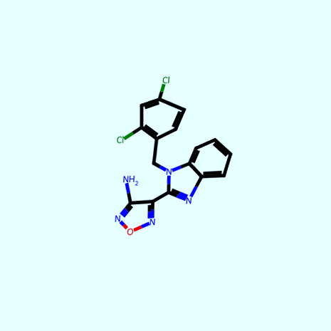 Nc1nonc1-c1nc2ccccc2n1Cc1ccc(Cl)cc1Cl